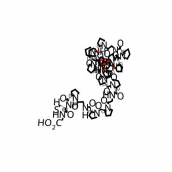 O=C(O)CNC(=O)[C@H](CS)NC(=O)[C@@H]1CCCN1C(=O)CNC(=O)[C@@H]1CCCN1C(=O)[C@@H]1CCCN1C(=O)CNC(=O)[C@@H]1CCCN1C(=O)[C@@H]1CCCN1C(=O)CNC(=O)[C@@H]1CCCN1C(=O)[C@@H]1CCCN1C(=O)CNC(=O)[C@@H]1CCCN1C(=O)[C@@H]1CCCN1C(=O)CNC(=O)[C@@H]1CCCN1C(=O)[C@@H]1CCCN1C(=O)CNC(=O)[C@@H]1CCCN1C(=O)[C@@H]1CCCN1